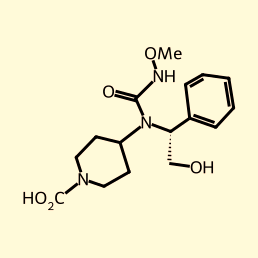 CONC(=O)N(C1CCN(C(=O)O)CC1)[C@@H](CO)c1ccccc1